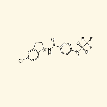 CN(c1ccc(C(=O)N[C@H]2CCc3cc(Cl)ccc32)cc1)S(=O)(=O)C(F)(F)F